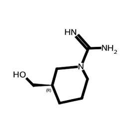 N=C(N)N1CCC[C@@H](CO)C1